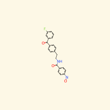 O=Nc1ccc(C(=O)NCCc2ccc(C(=O)c3cccc(F)c3)cc2)cc1